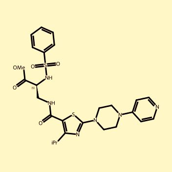 COC(=O)[C@H](CNC(=O)c1sc(N2CCN(c3ccncc3)CC2)nc1C(C)C)NS(=O)(=O)c1ccccc1